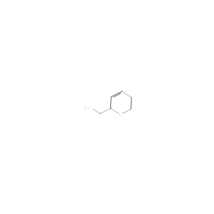 CC(C)(C)CC1C=CCCN1